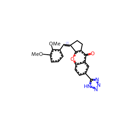 COc1cccc(/C=C2/CCc3c2oc2ccc(-c4nnn[nH]4)cc2c3=O)c1OC